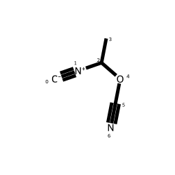 [C-]#[N+]C(C)OC#N